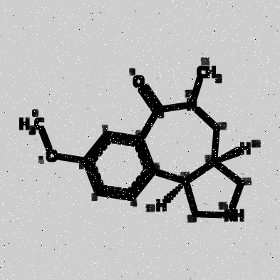 COc1ccc2c(c1)C(=O)N(C)C[C@@H]1CNC[C@@H]21